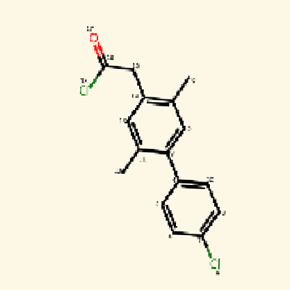 Cc1cc(-c2ccc(Cl)cc2)c(C)cc1CC(=O)Cl